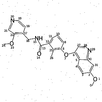 COc1ccc2c(Oc3cccc(C(=O)NCc4ccncc4OC)c3C)ccnc2c1